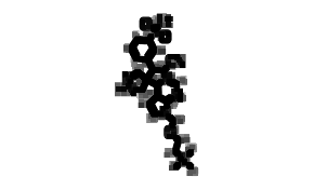 CCS(=O)(=O)c1cccc(C(CC#N)C2(c3ncnc4c3ccn4COCC[Si](C)(C)C)C=NNC2)c1